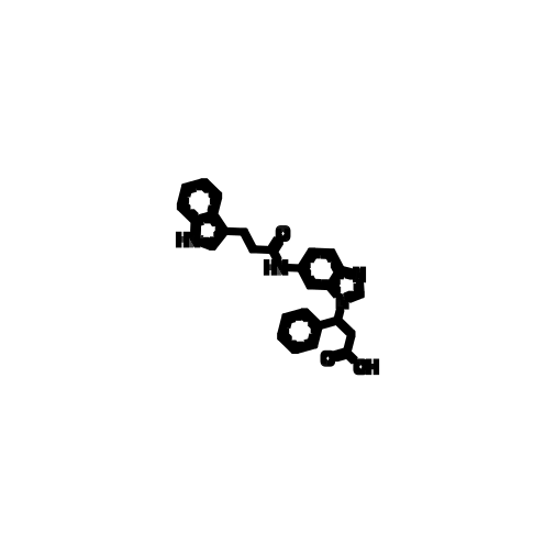 O=C(O)CC(c1ccccc1)n1cnc2ccc(NC(=O)CCc3c[nH]c4ccccc34)cc21